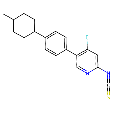 CC1CCC(c2ccc(-c3cnc(N=C=S)cc3F)cc2)CC1